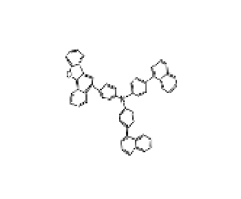 c1ccc2c(-c3ccc(N(c4ccc(-c5cccc6ccccc56)cc4)c4ccc(-c5cc6c7ccccc7oc6c6ccccc56)cc4)cc3)cccc2c1